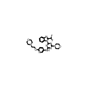 FC(F)c1nc2ccccc2n1-c1nc(Nc2ccc(OCCN3CCOCC3)nc2)nc(N2CCOCC2)n1